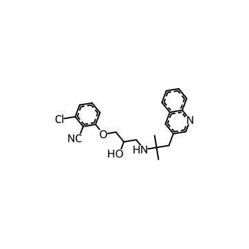 CC(C)(Cc1cnc2ccccc2c1)NCC(O)COc1cccc(Cl)c1C#N